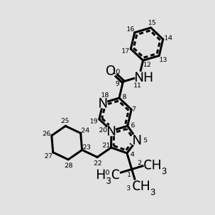 CC(C)(C)c1nc2cc(C(=O)Nc3ccccc3)ncn2c1CC1CCCCC1